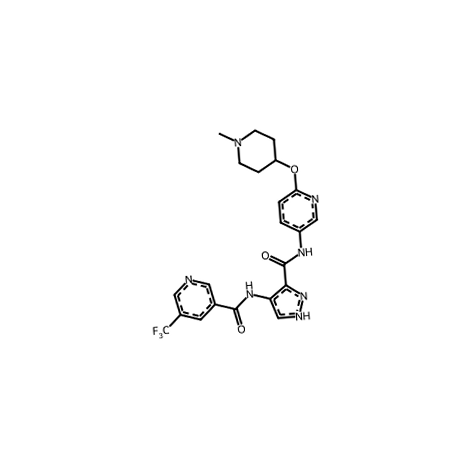 CN1CCC(Oc2ccc(NC(=O)c3n[nH]cc3NC(=O)c3cncc(C(F)(F)F)c3)cn2)CC1